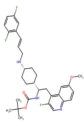 COc1ccc2ncc(F)c(CC(NC(=O)OC(C)(C)C)[C@H]3CC[C@@H](NC/C=C/c4cc(F)ccc4F)CC3)c2c1